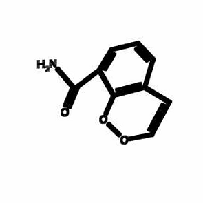 NC(=O)c1cccc2c1OOC=C2